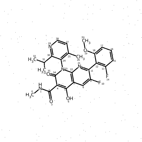 CNC(=O)c1c(O)c2cc(F)c(-c3c(F)cccc3OC)nc2n(-c2c(C)ccnc2C(C)C)c1=O